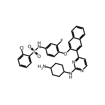 NC1CCC(Nc2nccc(-c3cc4ccccc4cc3Oc3ccc(NS(=O)(=O)c4ccccc4Cl)cc3F)n2)CC1